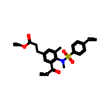 COC(=O)c1cc(CCC(=O)OC(C)(C)C)cc(C)c1N(C)S(=O)(=O)c1ccc(OC)cc1